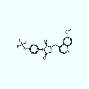 COc1ccc2nccc(CN3CC(=O)N(c4ccc(SC(F)(F)F)cc4)C3=O)c2c1